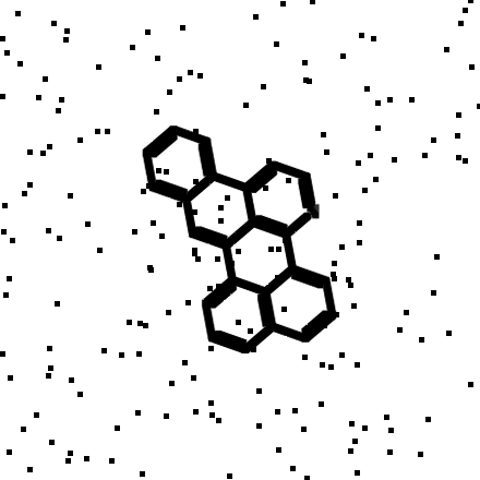 c1ccc2c(c1)cc1c3cccc4cccc(c5nccc2c15)c43